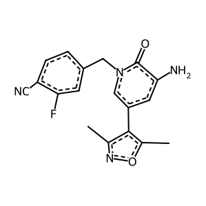 Cc1noc(C)c1-c1cc(N)c(=O)n(Cc2ccc(C#N)c(F)c2)c1